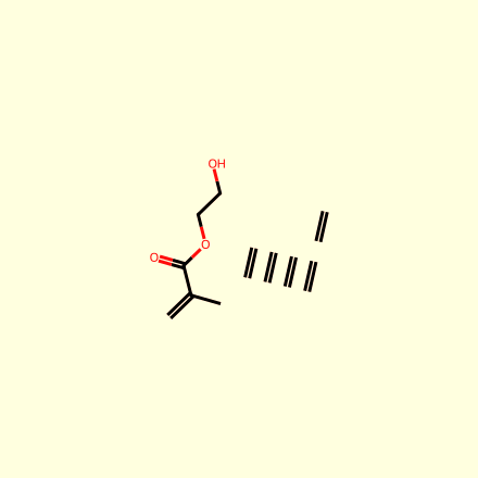 C=C.C=C.C=C.C=C.C=C.C=C(C)C(=O)OCCO